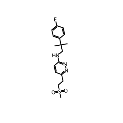 CC(C)(CNc1ccc(CCS(C)(=O)=O)nn1)c1ccc(F)cc1